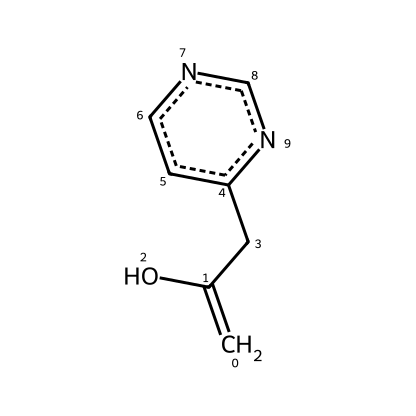 C=C(O)Cc1ccncn1